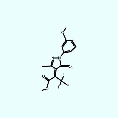 COC(=O)/C(=C1/C(=O)N(c2cccc(OC)c2)N=C1C)C(F)(F)F